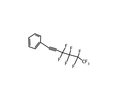 FC(F)(F)C(F)(F)C(F)(F)C(F)(F)C#Cc1ccccc1